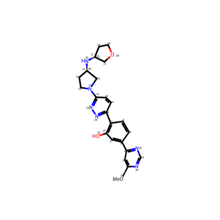 COc1cc(-c2ccc(-c3ccc(N4CC[C@@H](N[C@H]5CCOC5)C4)nn3)c(O)c2)ncn1